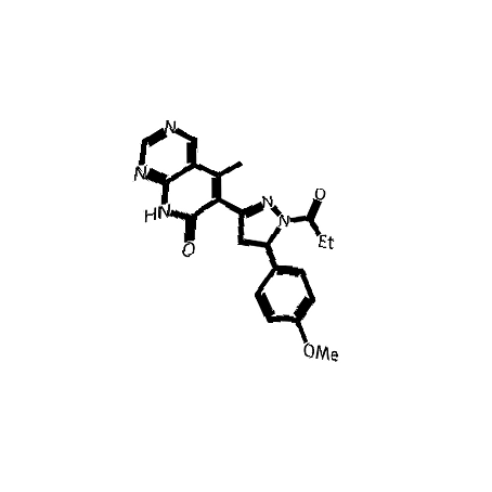 CCC(=O)N1N=C(c2c(C)c3cncnc3[nH]c2=O)CC1c1ccc(OC)cc1